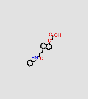 O=C(O)COc1cccc2c(CCC(=O)NCc3ccccc3)cccc12